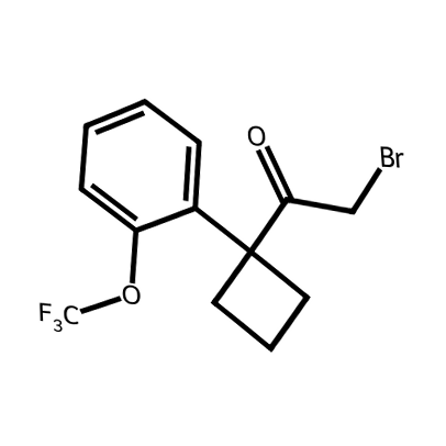 O=C(CBr)C1(c2ccccc2OC(F)(F)F)CCC1